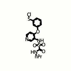 CCCNC(=O)S(=O)(=O)Nc1cnccc1Oc1cccc(SCl)c1